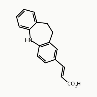 O=C(O)C=Cc1ccc2c(c1)CCc1ccccc1N2